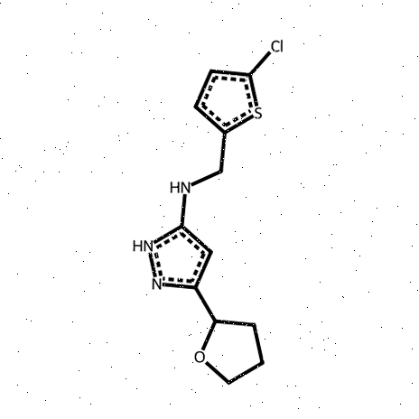 Clc1ccc(CNc2cc(C3CCCO3)n[nH]2)s1